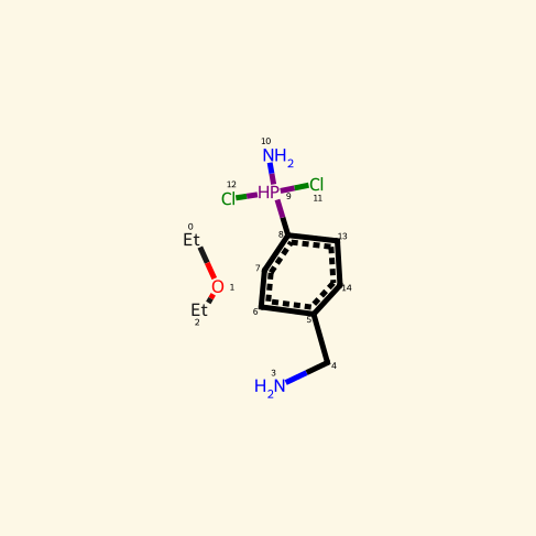 CCOCC.NCc1ccc([PH](N)(Cl)Cl)cc1